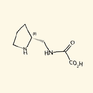 O=C(O)C(=O)NC[C@H]1CCCN1